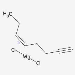 [C]#CCC/C=C\CC.[Cl][Mg][Cl]